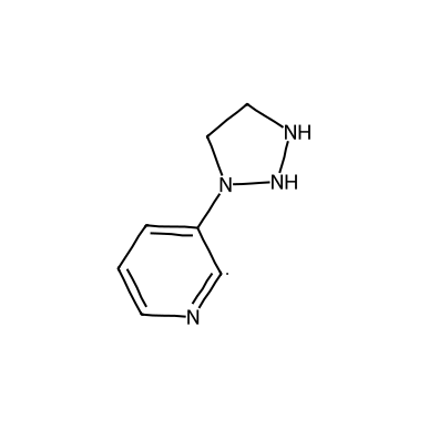 [c]1ncccc1N1CCNN1